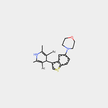 CC(=O)C1=C(C)NC(C)=C(C(C)=O)C1c1csc2ccc(N3CCOCC3)cc12